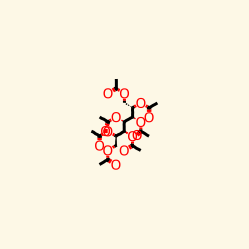 CC(=O)OC[C@H](OC(C)=O)[C@H](OC(C)=O)[C@@H](OC(C)=O)[C@@H](OC(C)=O)[C@@H](COC(C)=O)OC(C)=O